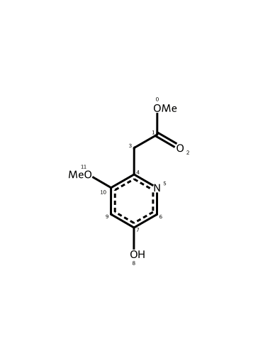 COC(=O)Cc1ncc(O)cc1OC